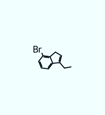 CCC1=CCc2c(Br)cccc21